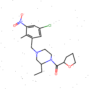 CCC1CN(Cc2cc(Cl)cc([N+](=O)[O-])c2C)CCN1C(=O)C1CCCO1